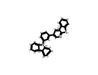 c1cc(-c2cnc3sc4ccccc4c3c2)cc(-n2c3ccccc3c3ccccc32)c1